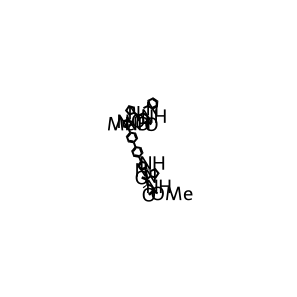 COC(=O)N[C@@H](C)C(=O)N1CCC[C@H]1c1ncc(-c2ccc(-c3ccc(-c4cnc([C@@H]5CCCN5C(=O)[C@H](Cc5ccccn5)NC(=O)OC)[nH]4)cc3)cc2)[nH]1